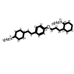 CCCCCCC1CCC(CCc2ccc(OCCCC3CCCCC3CCCCCC)cc2)CC1